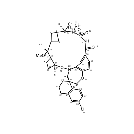 CO[C@@H]1C2=CC(C2)[C@H](C)N(C)S(=O)(=O)NC(=O)c2ccc3c(c2)N(C[C@@H]2CC[C@H]21)C[C@@]1(CCCc2cc(Cl)ccc21)CO3